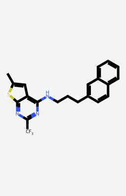 Cc1cc2c(NCCCc3ccc4ccccc4c3)nc(C(F)(F)F)nc2s1